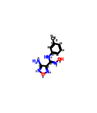 Nc1nonc1/C(=N/O)Nc1cccc(C(F)(F)F)c1